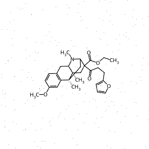 CCOC(=O)C1(C(=O)CCc2ccco2)C[C@]2(C)C3Cc4ccc(OC)cc4[C@]2(C)CC1N3C